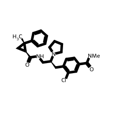 CNC(=O)c1ccc(C[C@@H](CNC(=O)[C@H]2C[C@]2(C)c2ccccc2)N2CCCC2)c(Cl)c1